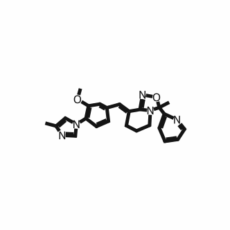 COc1cc(/C=C2\CCCN3C2=NOC3(C)c2ccccn2)ccc1-n1cnc(C)c1